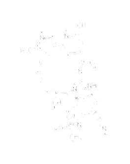 Cc1cc2cc(n1)-c1cnn(C)c1OCCCC(C)CN1/C(=N/C2=O)Nc2cc(C#N)c(N=S(C)(C)=O)cc21